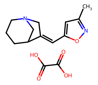 Cc1cc(/C=C2\CN3CCCC2C3)on1.O=C(O)C(=O)O